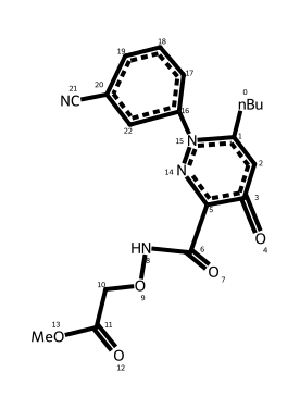 CCCCc1cc(=O)c(C(=O)NOCC(=O)OC)nn1-c1cccc(C#N)c1